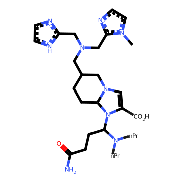 CCCN(CCC)C(CCC(N)=O)N1C(C(=O)O)=CN2CC(CN(Cc3ncc[nH]3)Cc3nccn3C)CCC21